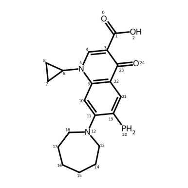 O=C(O)c1cn(C2CC2)c2cc(N3CCCCCC3)c(P)cc2c1=O